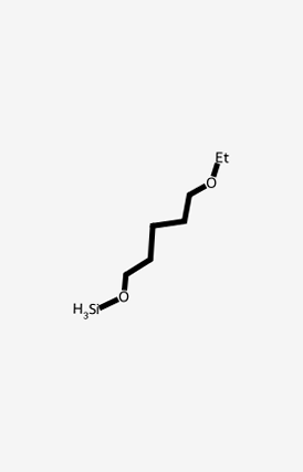 CCOCCCCCO[SiH3]